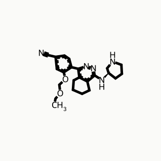 CCOCOc1cc(C#N)ccc1-c1nnc(N[C@@H]2CCCNC2)c2c1CCCC2